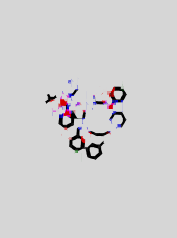 CN(C)Cc1ncc(-c2ccc(Oc3cc(Cl)ccc3CN3C(=O)C[C@@H](Cc4ccccc4)C(=O)N4CCC[C@@](Cc5ccc(Cl)cc5)(C4)NC(=O)[C@H](CO)NC(=O)[C@@H]3CCNC(=O)OC(C)(C)C)cc2)n1C